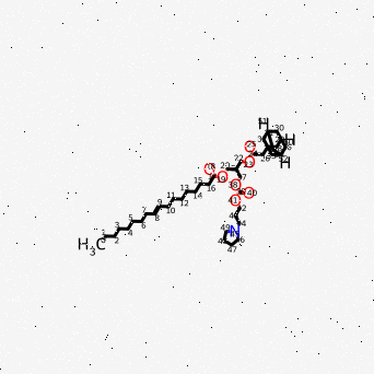 CCCCCCCC/C=C/CCCCCCCC(=O)OCC(COC(=O)CC12C[C@H]3C[C@@H](C1)C[C@@H](C2)C3)COC(=O)OCCCN1CCCC1